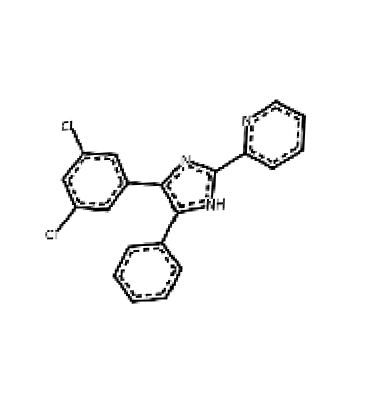 Clc1cc(Cl)cc(-c2nc(-c3ccccn3)[nH]c2-c2ccccc2)c1